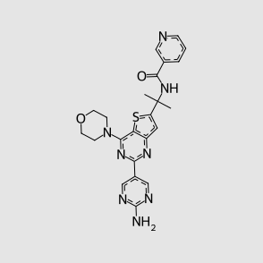 CC(C)(NC(=O)c1cccnc1)c1cc2nc(-c3cnc(N)nc3)nc(N3CCOCC3)c2s1